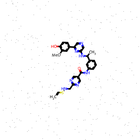 C=CSNCc1ncc(C(=O)Nc2cccc(C(C)Nc3cncc(-c4ccc(O)c(OC)c4)n3)c2)cn1